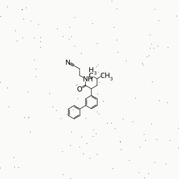 CC(C)CC(C(=O)NCCC#N)c1cccc(-c2ccccc2)c1